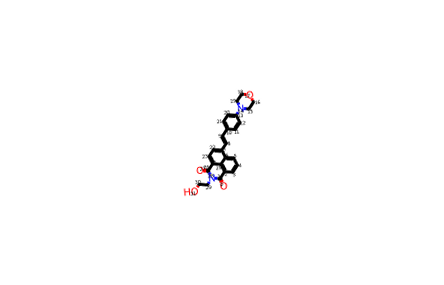 O=C1c2cccc3c(C=Cc4ccc(N5CCOCC5)cc4)ccc(c23)C(=O)N1CCO